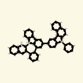 c1ccc(-n2c3ccc(-c4cc5c6c(c4)c4ccccc4n6-c4nc6ccccc6cc4-c4ccccc4-5)cc3c3c4ccccc4ccc32)cc1